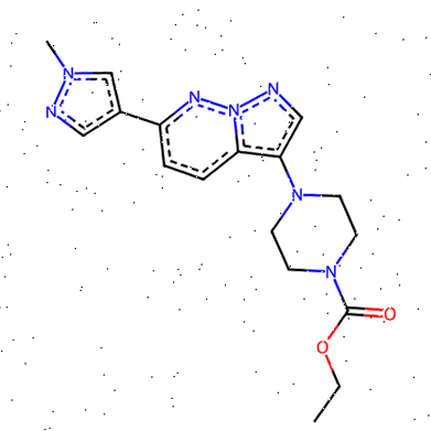 CCOC(=O)N1CCN(c2cnn3nc(-c4cnn(C)c4)ccc23)CC1